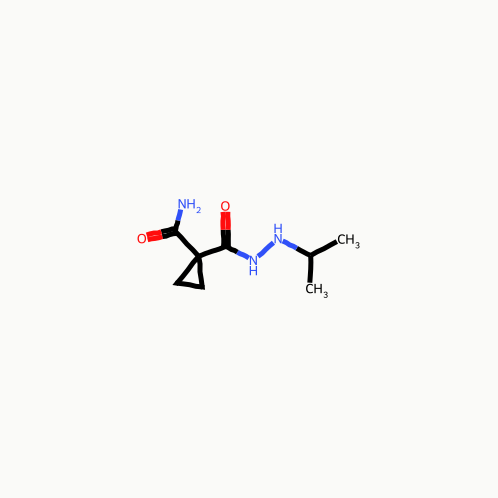 CC(C)NNC(=O)C1(C(N)=O)CC1